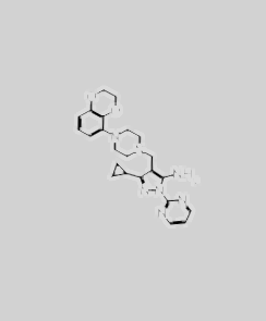 Nc1c(CN2CCN(c3cccc4c3OCCO4)CC2)c(C2CC2)nn1-c1ncccn1